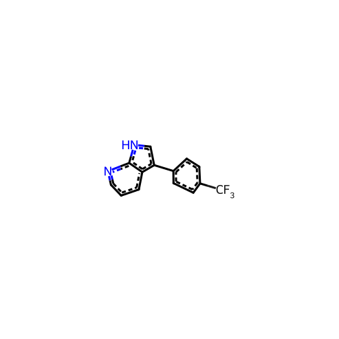 FC(F)(F)c1ccc(-c2c[nH]c3ncccc23)cc1